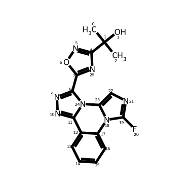 CC(C)(O)c1noc(-c2nnc3c4ccccc4n4c(F)ncc4n23)n1